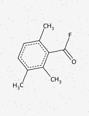 Cc1ccc(C)c(C(=O)F)c1C